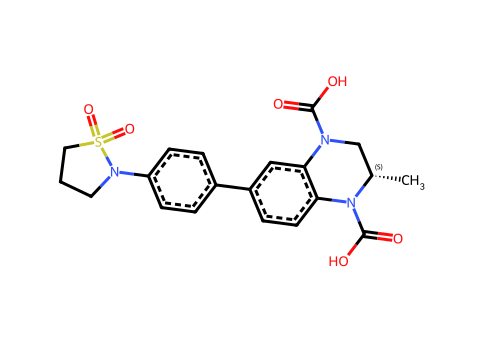 C[C@H]1CN(C(=O)O)c2cc(-c3ccc(N4CCCS4(=O)=O)cc3)ccc2N1C(=O)O